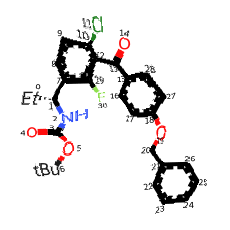 CC[C@@H](NC(=O)OC(C)(C)C)c1ccc(Cl)c(C(=O)c2ccc(OCc3ccccc3)cc2)c1F